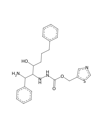 NC(c1ccccc1)C(NNC(=O)OCc1cncs1)C(O)CCCc1ccccc1